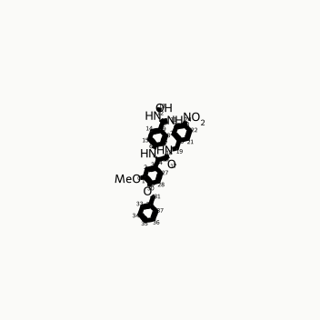 COc1cc([C@@H](Nc2ccc(C(=N)NO)cc2)C(=O)NCc2ccc([N+](=O)[O-])cc2)ccc1OCc1ccccc1